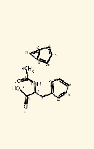 CC(=O)NC(Cc1ccccc1)C(=O)O.c1cc2cc-2c1